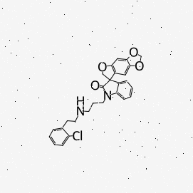 O=C1N(CCCNCCc2ccccc2Cl)c2ccccc2C12COc1cc3c(cc12)OCO3